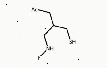 CC(=O)CC(CS)CNI